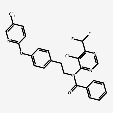 O=C(c1ccccc1)N(CCc1ccc(Oc2ccc(C(F)(F)F)cn2)cc1)c1ncnc(C(F)F)c1Cl